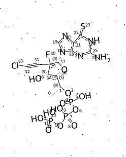 C[C@@H](OP(=O)(O)OP(=O)(O)OP(=O)(O)O)[C@H]1O[C@@H](n2cnc3c(=S)[nH]c(N)nc32)C(F)(C#CCl)[C@H]1O